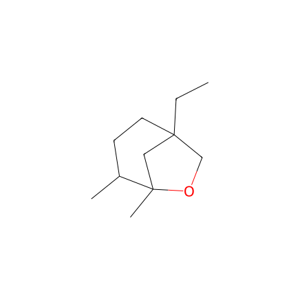 CCC12CCC(C)C(C)(C1)OC2